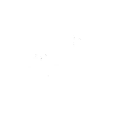 O=P(O)(O)OCc1cn(CCCOc2ccc(-c3cccc(S(=O)(=O)C4CC4)c3)c3c2[nH]c2ncc(I)cc23)cn1